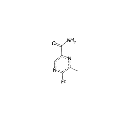 CCc1ncc(C(N)=O)nc1C